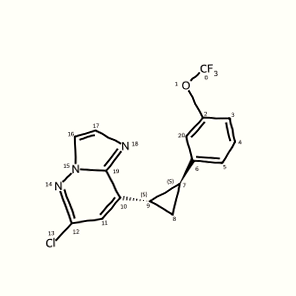 FC(F)(F)Oc1cccc([C@H]2C[C@@H]2c2cc(Cl)nn3ccnc23)c1